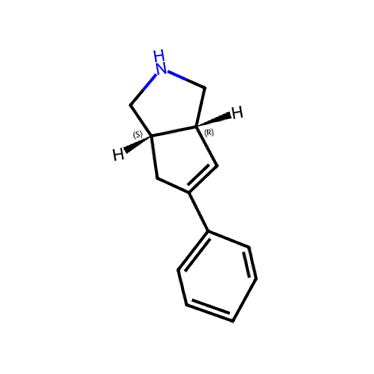 C1=C(c2ccccc2)C[C@@H]2CNC[C@H]12